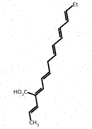 C/C=C/C(=C/C=C/C/C=C/C=C/C=C/CC)C(=O)O